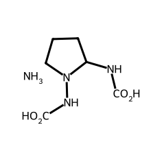 N.O=C(O)NC1CCCN1NC(=O)O